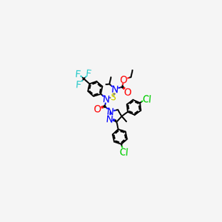 CCOC(=O)N(SN(C(=O)N1CC(C)(c2ccc(Cl)cc2)C(c2ccc(Cl)cc2)=N1)c1ccc(C(F)(F)F)cc1)C(C)C